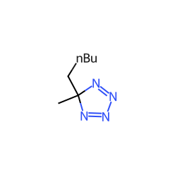 CCCCCC1(C)N=NN=N1